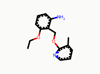 CCOc1cccc(N)c1COc1ncccc1C